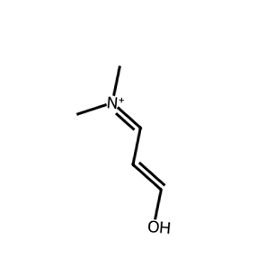 C[N+](C)=CC=CO